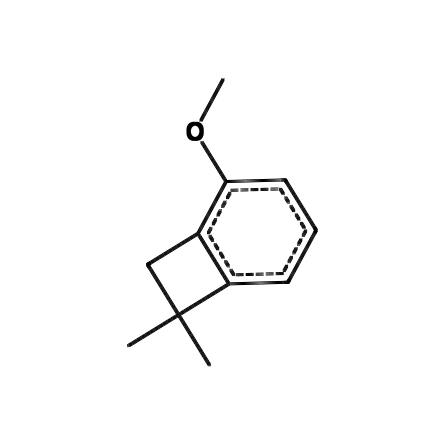 COc1cccc2c1CC2(C)C